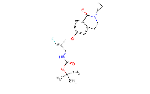 CC(C)(C)OC(=O)NC/C(=C/F)COc1ccc2c(c1)CCN(C1CC1)C2=O